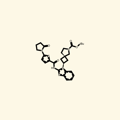 CC(C)(C)OC(=O)N1CC[C@]2(C1)C[C@H](n1c(NC(=O)c3ccc(N4CCCC4=O)s3)nc3ccccc31)C2